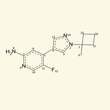 CC1(n2cc(-c3cc(N)ncc3F)cn2)CCC1